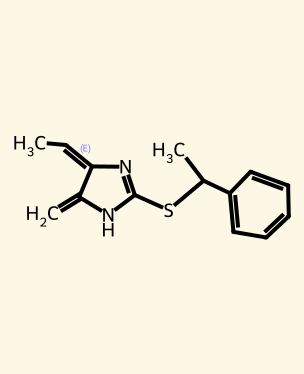 C=c1[nH]c(SC(C)c2ccccc2)n/c1=C/C